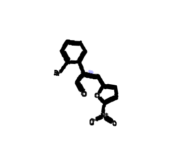 O=C/C(=C\c1ccc([N+](=O)[O-])o1)c1ccccc1Br